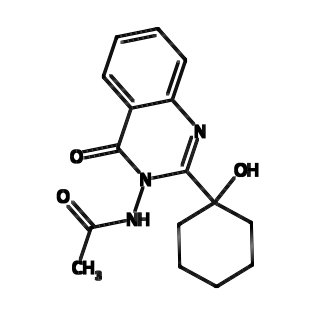 CC(=O)Nn1c(C2(O)CCCCC2)nc2ccccc2c1=O